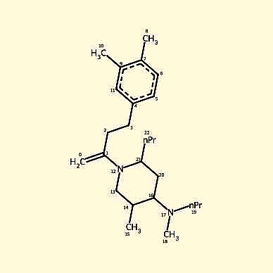 C=C(CCc1ccc(C)c(C)c1)N1CC(C)C(N(C)CCC)CC1CCC